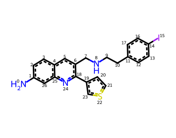 Nc1ccc2cc(CNCCc3ccc(I)cc3)c(-c3ccsc3)nc2c1